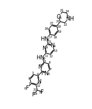 Fc1ccc(-c2nccc(Nc3ccnc(Nc4ccc(C5CNCCO5)cc4)n3)n2)nc1C(F)F